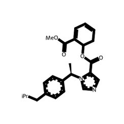 COC(=O)C1=CC=CCC1OC(=O)c1cncn1[C@H](C)c1ccc(CC(C)C)cc1